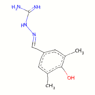 Cc1cc(/C=N/NC(=N)N)cc(C)c1O